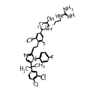 CC(C)(c1ccc(Cl)c(Cl)c1)c1cnc(CCc2c(F)cc(C(=O)N[C@@H](CCCNC(=N)N)C(=O)O)cc2Cl)n1-c1ccc(F)cc1